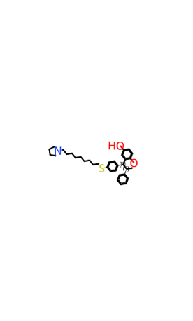 Oc1ccc2c(c1)[C@@H](c1ccc(SCCCCCCCCCN3CCCC3)cc1)[C@@H](c1ccccc1)CO2